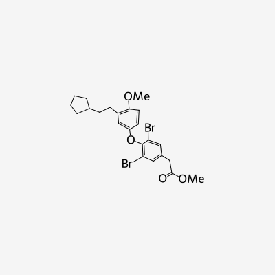 COC(=O)Cc1cc(Br)c(Oc2ccc(OC)c(CCC3CCCC3)c2)c(Br)c1